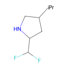 CC(C)C1CNC(C(F)F)C1